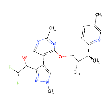 Cc1ccc([C@@H](C)[C@H](C)COc2nc(C)ncc2-c2cn(C)nc2C(O)C(F)F)nc1